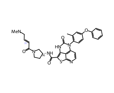 CNC/C=C/C(=O)N1CC[C@@H](NC(=O)c2sc3nccc4c3c2NC(=O)N4c2ccc(Oc3ccccc3)cc2C)C1